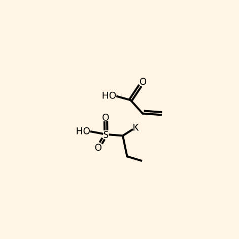 C=CC(=O)O.CC[CH]([K])S(=O)(=O)O